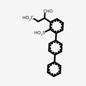 O=CC(CC(=O)O)c1cccc(-c2ccc(-c3ccccc3)cc2)c1S(=O)(=O)O